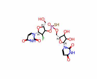 O=c1ccn([C@@H]2O[C@H](COP(=O)(S)OC3C(F)[C@H](n4ccc(=O)[nH]c4=O)O[C@@H]3CO)C(O)C2O)c(=O)[nH]1